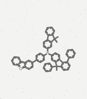 CC1(C)c2ccccc2-c2ccc(N(c3ccc(-c4ccc5oc6ccccc6c5c4)cc3)c3ccc4c(c3)C(C)(c3ccccc3)c3cccc(-c5ccccc5)c3-4)cc21